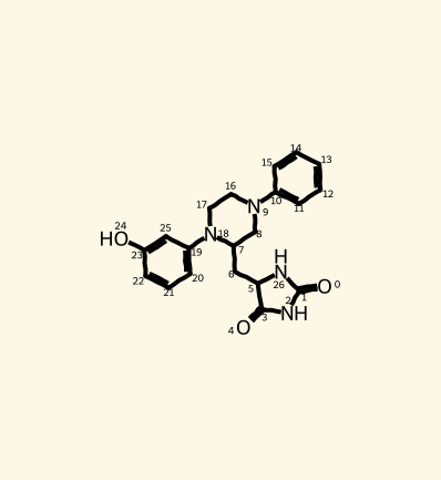 O=C1NC(=O)C(CC2CN(c3ccccc3)CCN2c2cccc(O)c2)N1